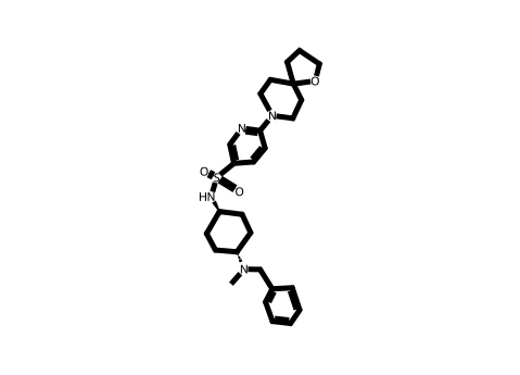 CN(Cc1ccccc1)[C@H]1CC[C@H](NS(=O)(=O)c2ccc(N3CCC4(CCCO4)CC3)nc2)CC1